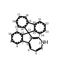 C1=CNC=C2C(=C1)c1ccccc1C21c2ccccc2-c2ccccc21